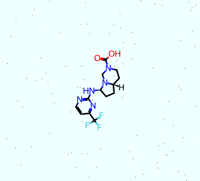 O=C(O)N1CC[C@@H]2CC[C@@H](Nc3nccc(C(F)(F)F)n3)N2C1